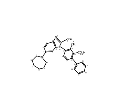 CCCCc1nc2ccc(N3CCCCCC3)cc2n1-c1ccc(-c2ccccc2)c(C(=O)O)c1C